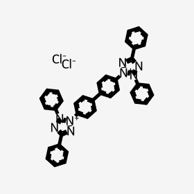 [Cl-].[Cl-].c1ccc(-c2nn(-c3ccccc3)[n+](-c3ccc(-c4ccc(-[n+]5nc(-c6ccccc6)nn5-c5ccccc5)cc4)cc3)n2)cc1